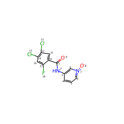 O=C(Nc1ccc[n+]([O-])c1)c1cc(Cl)c(Cl)cc1F